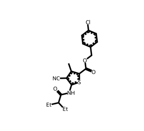 CCC(CC)C(=O)Nc1sc(C(=O)OCc2ccc(Cl)cc2)c(C)c1C#N